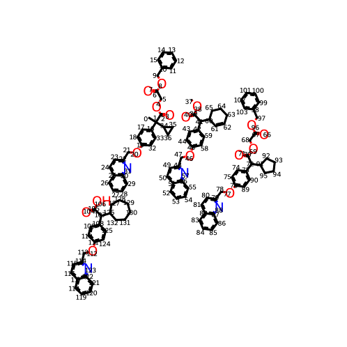 CC(C(=O)OCC(=O)OCc1ccccc1)(c1ccc(OCc2ccc3ccccc3n2)cc1)C1CC1.COC(=O)C(c1ccc(OCc2ccc3ccccc3n2)cc1)C1C=CCCC1.O=C(COC(=O)C(c1ccc(OCc2ccc3ccccc3n2)cc1)C1CCCC1)OCc1ccccc1.O=C(O)C(c1ccc(OCc2ccc3ccccc3n2)cc1)C1CCCCCC1